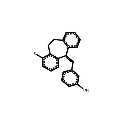 Oc1cccc(/C=C2/c3ccccc3CCc3c(F)cccc32)c1